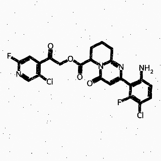 Nc1ccc(Cl)c(F)c1-c1cc(=O)n2c(n1)CCCC2C(=O)OCC(=O)c1cc(F)ncc1Cl